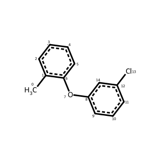 Cc1c[c]ccc1Oc1cccc(Cl)c1